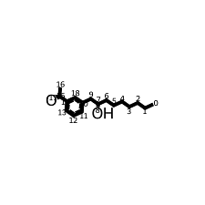 CCCCCCCC(O)Cc1cccc(C(C)=O)c1